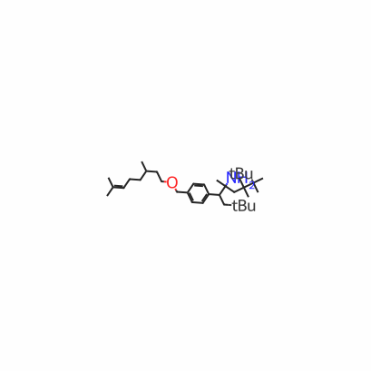 CC(C)=CCCC(C)CCOCc1ccc(C(CC(C)(C)C)C(C)(N)CC(C)(C)C(C)(C)C(C)(C)C)cc1